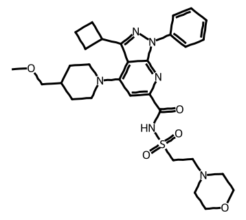 COCC1CCN(c2cc(C(=O)NS(=O)(=O)CCN3CCOCC3)nc3c2c(C2CCC2)nn3-c2ccccc2)CC1